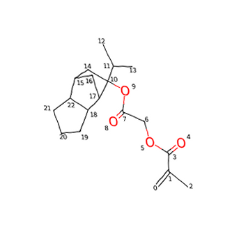 C=C(C)C(=O)OCC(=O)OC1(C(C)C)CC2CC1C1CCCC21